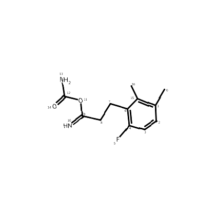 Cc1ccc(F)c(CCC(=N)OC(N)=O)c1C